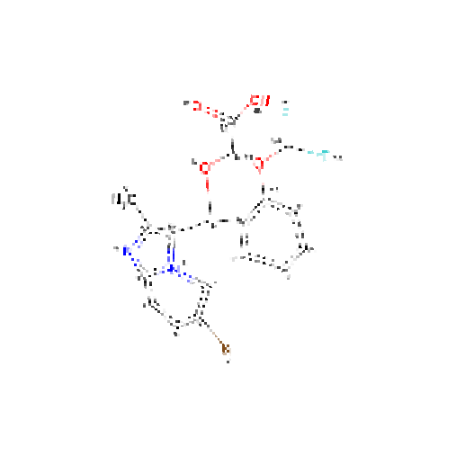 Cc1nc2ccc(Br)cn2c1C(OCC(=O)O)c1ccccc1OC(F)F